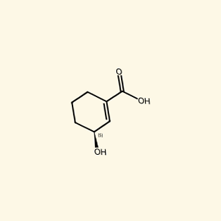 O=C(O)C1=C[C@@H](O)CCC1